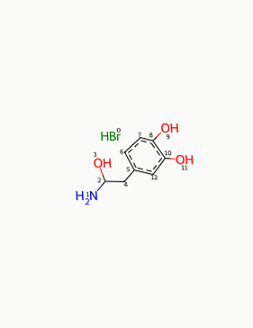 Br.NC(O)Cc1ccc(O)c(O)c1